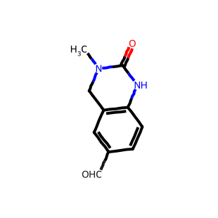 CN1Cc2cc(C=O)ccc2NC1=O